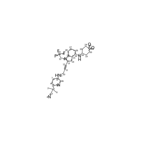 CC(C)(C#N)c1ccc(NCC#Cc2cc3c(NC4CCS(=O)(=O)CC4)cccc3n2CC(F)(F)F)cn1